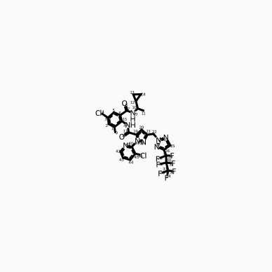 Cc1cc(Cl)cc(C(=O)NC(C)C2CC2)c1NC(=O)c1cc(Cn2ncc(C(F)(F)C(F)(F)C(F)(F)F)n2)nn1-c1ncccc1Cl